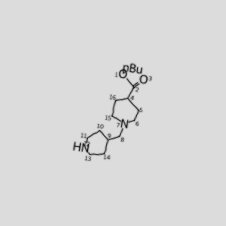 CCCCOC(=O)C1CCN(CC2CCNCC2)CC1